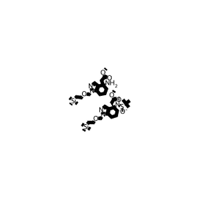 COC(=O)C[C@@]1(N)CCCc2c1cnn2COCC[Si](C)(C)C.COC(=O)C[C@@]1(N[S@+]([O-])C(C)(C)C)CCCc2c1cnn2COCC[Si](C)(C)C